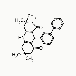 CC1(C)CC(=O)C2=C(C1)NC1=C(C(=O)CC(C)(C)C1)C2c1cccc(-c2ccccc2)c1